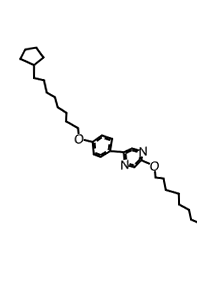 CCCCCCCCCOc1cnc(-c2ccc(OCCCCCCCCC3CCCC3)cc2)cn1